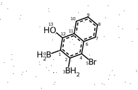 Bc1c(B)c(Br)c2ccccc2c1O